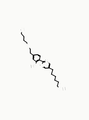 CCCCCCCCc1ccc(-c2ncc(CCCCCCC)cn2)c(S)c1